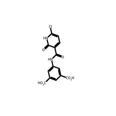 O=C(O)c1cc(NC(=O)c2ccc(Cl)[nH]c2=O)cc(C(=O)O)c1